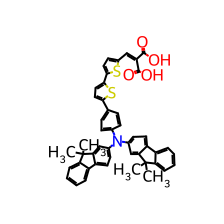 CC1(C)c2ccccc2-c2ccc(N(c3ccc(-c4ccc(-c5ccc(C=C(C(=O)O)C(=O)O)s5)s4)cc3)c3ccc4c(c3)C(C)(C)c3ccccc3-4)cc21